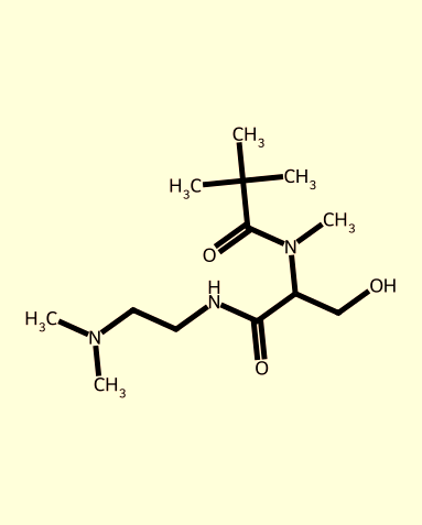 CN(C)CCNC(=O)C(CO)N(C)C(=O)C(C)(C)C